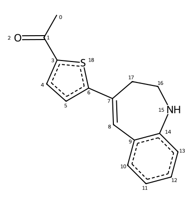 CC(=O)c1ccc(C2=Cc3ccccc3NCC2)s1